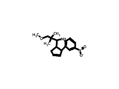 COCC(C)(C)C1Nc2ccc([N+](=O)[O-])cc2C2C=CCC21